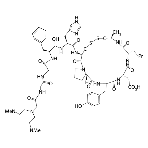 CNCCN(CCNC)CC(=O)NCC(=O)NCC(=O)N[C@@H](Cc1ccccc1)[C@H](O)N[C@@H](Cc1c[nH]cn1)C(=O)N[C@H]1CSSC[C@@H](C)NC(=O)[C@H](CC(C)C)NC(=O)[C@H](CC(=O)O)NC(=O)[C@H](Cc2ccc(O)cc2)NC(=O)[C@@H]2CCCN2C1=O